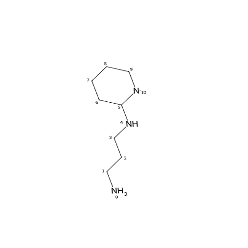 NCCCNC1CCCC[N]1